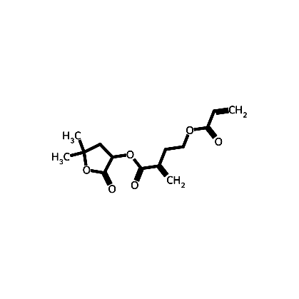 C=CC(=O)OCCC(=C)C(=O)OC1CC(C)(C)OC1=O